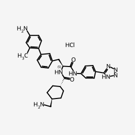 Cc1cc(N)ccc1-c1cccc(C[C@H](NC(=O)[C@H]2CC[C@H](CN)CC2)C(=O)Nc2ccc(-c3nnn[nH]3)cc2)c1.Cl